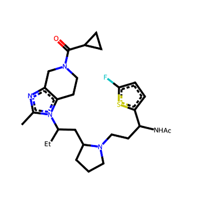 CCC(CC1CCCN1CCC(NC(C)=O)c1ccc(F)s1)n1c(C)nc2c1CCN(C(=O)C1CC1)C2